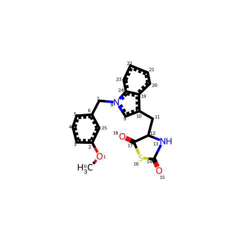 COc1cccc(Cn2cc(CC3NC(=O)SC3=O)c3ccccc32)c1